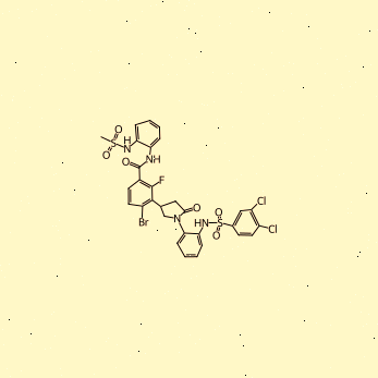 CS(=O)(=O)Nc1ccccc1NC(=O)c1ccc(Br)c(C2CC(=O)N(c3ccccc3NS(=O)(=O)c3ccc(Cl)c(Cl)c3)C2)c1F